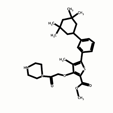 COC(=O)c1sc(-c2cccc(C3CC(C)(C)CC(C)(C)C3)c2)c(C)c1OCC(=O)N1CCNCC1